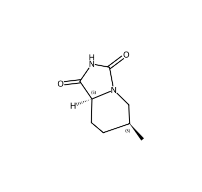 C[C@H]1CC[C@H]2C(=O)NC(=O)N2C1